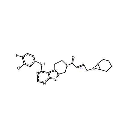 O=C(/C=C/CN1C2CCCCC21)N1CCc2c(sc3ncnc(Nc4ccc(F)c(Cl)c4)c23)C1